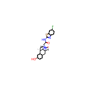 CN1CC[C@]2(C)c3cc(O)ccc3C[C@@H]1[C@@H]2N(C)CC(=O)Nc1nc2ccc(F)cc2s1